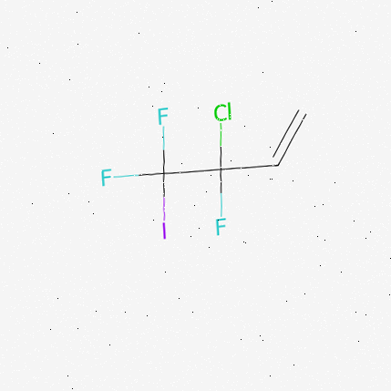 C=CC(F)(Cl)C(F)(F)I